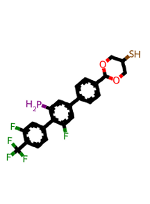 Fc1cc(-c2c(F)cc(-c3ccc(C4OCC(S)CO4)cc3)cc2P)ccc1C(F)(F)F